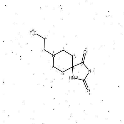 O=C1[N]C(=O)C2(CCN(CCC(F)(F)F)CC2)N1